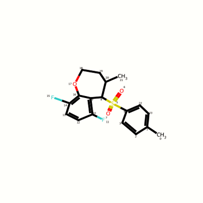 Cc1ccc(S(=O)(=O)C2c3c(F)ccc(F)c3OCCC2C)cc1